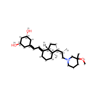 COC1(C)CCCN(C[C@@H](C)[C@H]2CC[C@H]3C(=CC=C4C[C@@H](O)C[C@H](O)C4)CCC[C@]23C)C1